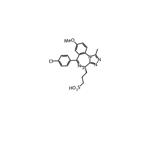 COc1ccc2c(c1)C(c1ccc(Cl)cc1)=N[C@H](CCCS(=O)(=O)O)c1nnc(C)n1-2